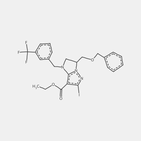 CCOC(=O)c1c(I)nn2c1N(Cc1cccc(C(F)(F)F)c1)CC2COCc1ccccc1